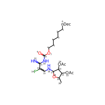 CCCCCCCCCCCCCCCCOC(=O)NC(=N)/C(F)=C\NC1OC(C)C(OC(C)=O)C1OC(C)=O